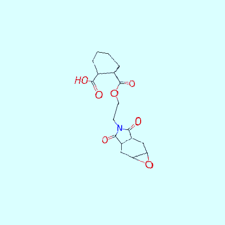 O=C(O)C1CCCCC1C(=O)OCCN1C(=O)C2CC3OC3CC2C1=O